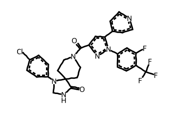 O=C(c1cc(-c2ccncc2)n(-c2ccc(C(F)(F)F)c(F)c2)n1)N1CCC2(CC1)C(=O)NCN2c1ccc(Cl)cc1